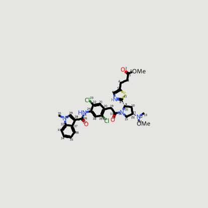 COC(=O)CCc1cnc([C@@H]2C[C@H](N(C)OC)CN2C(=O)Cc2cc(Cl)c(NC(=O)c3cn(C)c4ccccc34)cc2Cl)s1